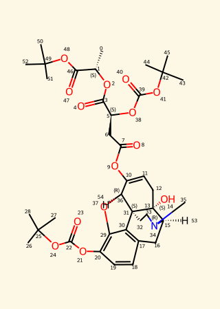 C[C@H](OC(=O)[C@H](CC(=O)OC1=CC[C@@]2(O)[C@H]3Cc4ccc(OC(=O)OC(C)(C)C)c5c4[C@@]2(CCN3C)[C@H]1O5)OC(=O)OC(C)(C)C)C(=O)OC(C)(C)C